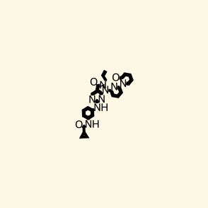 C=CCn1c(=O)c2cnc(Nc3cccc(NC(=O)C4CC4)c3)nc2n1-c1cccc(-n2ccccc2=O)n1